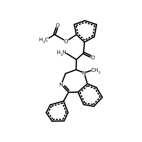 CC(=O)Oc1ccccc1C(=O)C(N)C1CN=C(c2ccccc2)c2ccccc2N1C